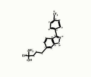 CCC(N)(O)CCCc1ccc2c(-c3ccc(C(F)(F)F)cc3)nsc2c1